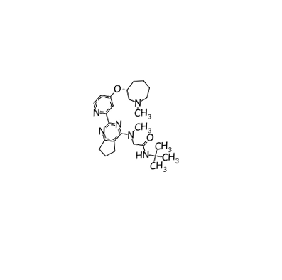 CN1CCCC[C@@H](Oc2ccnc(-c3nc4c(c(N(C)CC(=O)NC(C)(C)C)n3)CCC4)c2)C1